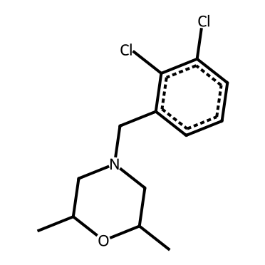 CC1CN(Cc2cccc(Cl)c2Cl)CC(C)O1